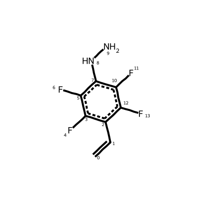 C=Cc1c(F)c(F)c(NN)c(F)c1F